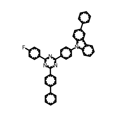 Fc1ccc(-c2nc(-c3ccc(-c4ccccc4)cc3)nc(-c3ccc(-n4c5ccccc5c5cc(-c6ccccc6)ccc54)cc3)n2)cc1